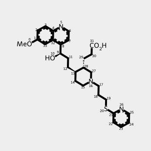 COc1ccc2nccc([C@H](O)CC[C@@H]3CCN(CCCSc4ccccn4)C[C@H]3CCC(=O)O)c2c1